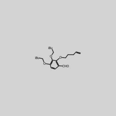 C=CCCCOc1c(C=O)ccc(OCC(C)CC)c1OCC(C)CC